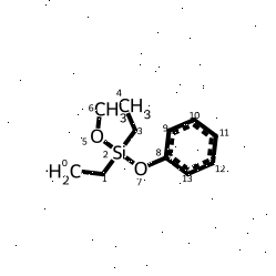 [CH2]C[Si](CC)(OC)Oc1ccccc1